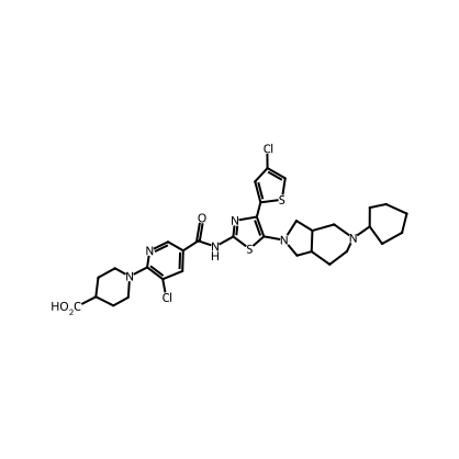 O=C(Nc1nc(-c2cc(Cl)cs2)c(N2CC3CCN(C4CCCCC4)CC3C2)s1)c1cnc(N2CCC(C(=O)O)CC2)c(Cl)c1